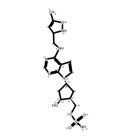 CC1=CC(CNc2ncnc3c2ccn3[C@@H]2C[C@@H](COS(N)(=O)=O)[C@@H](O)C2)NO1